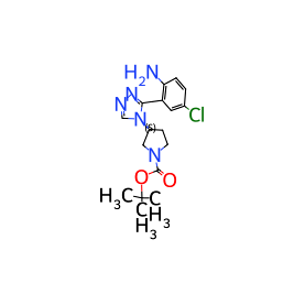 CC(C)(C)OC(=O)N1CC[C@H](n2cnnc2-c2cc(Cl)ccc2N)C1